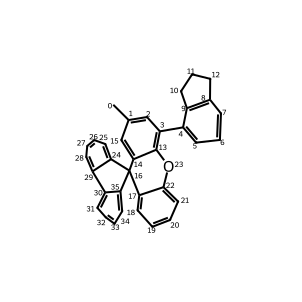 Cc1cc(-c2cccc3c2CCC3)c2c(c1)C1(c3ccccc3O2)c2ccccc2-c2ccccc21